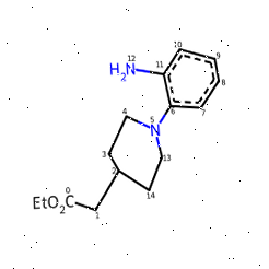 CCOC(=O)CC1CCN(c2ccccc2N)CC1